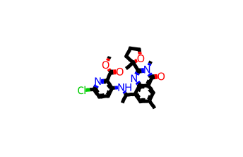 COC(=O)c1nc(Cl)ccc1NC(C)c1cc(C)cc2c(=O)n(C)c(C3(C)CCCO3)nc12